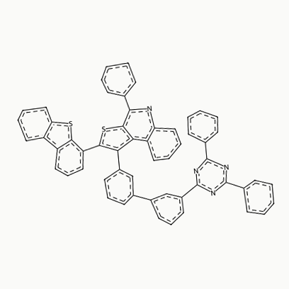 c1ccc(-c2nc(-c3ccccc3)nc(-c3cccc(-c4cccc(-c5c(-c6cccc7c6sc6ccccc67)sc6c(-c7ccccc7)nc7ccccc7c56)c4)c3)n2)cc1